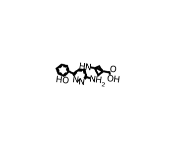 Nc1nnc(-c2ccccc2O)cc1NC12CC(C(=O)O)(C1)C2